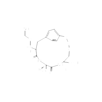 CC(C)[C@@H]1NC(=O)[C@@H](BOCN)Cc2ccc(cc2)OCCC[C@@H](C(=O)O)NC1=O